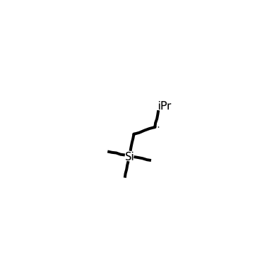 CC(C)[CH]C[Si](C)(C)C